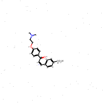 CN(C)CCOc1ccc(C(=O)/C=C\c2ccc(C(=O)O)cc2)cc1